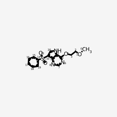 COCCOc1ncnc2c(S(=O)(=O)c3ccccc3)c[nH]c12